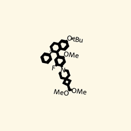 COc1cc(N2CCC3(CC2)CC(C(OC)OC)C3)c(F)cc1C1c2ccc(OC(C)(C)C)cc2CC[C@@H]1c1ccccc1